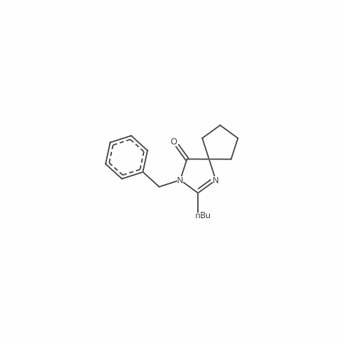 CCCCC1=NC2(CCCC2)C(=O)N1Cc1ccccc1